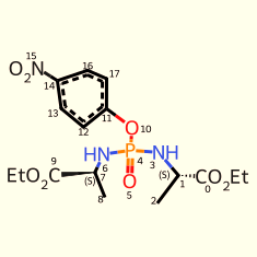 CCOC(=O)[C@H](C)NP(=O)(N[C@@H](C)C(=O)OCC)Oc1ccc([N+](=O)[O-])cc1